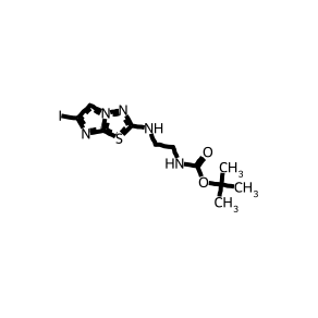 CC(C)(C)OC(=O)NCCNc1nn2cc(I)nc2s1